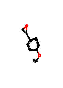 FC(F)(F)Oc1ccc(C2CO2)cc1